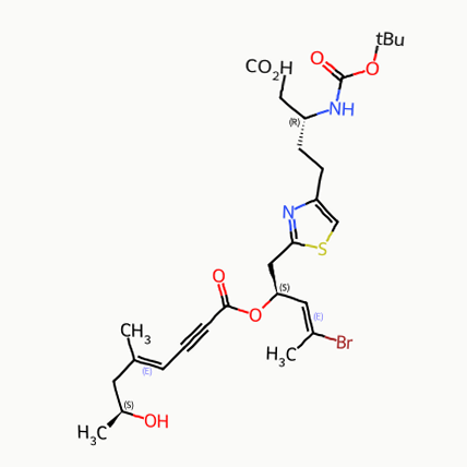 C/C(Br)=C\[C@H](Cc1nc(CC[C@H](CC(=O)O)NC(=O)OC(C)(C)C)cs1)OC(=O)C#C/C=C(\C)C[C@H](C)O